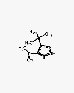 CN(C)c1n[nH]nc1C(C)(C)C